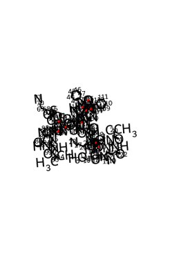 CC(C)C(=O)Nc1nc2c(ncn2[C@@H]2O[C@H](CO)[C@@H](F)[C@H]2OP(=S)(OCCC#N)OC[C@H]2O[C@@H](n3cnc4c(NC(=O)c5ccccc5)ncnc43)[C@H](O[PH](=O)O[C@@H]3[C@H](N=[N+]=[N-])[C@@H](COP(=S)(OCCC#N)O[C@@H]4[C@H](F)[C@@H](CO)O[C@H]4n4cnc5c(=O)[nH]c(NC(=O)C(C)C)nc54)O[C@H]3n3cnc4c(NC(=O)c5ccccc5)ncnc43)[C@@H]2N=[N+]=[N-])c(=O)[nH]1